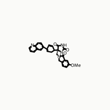 COc1ccc2c(c1)C(=O)N(C[C@]1(C3C=CC(c4ccc5ncccc5c4)=CC3)NC(=O)NC1=O)C2